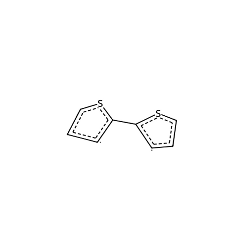 [c]1ccsc1-c1[c]ccs1